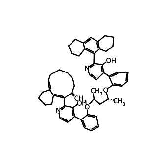 C=C1CCCCC/C=C2/CCCC/C2=C/1c1nccc(-c2ccccc2OC(C)C[C@@H](C)Oc2ccccc2-c2ccnc(-c3c4c(cc5c3CCCC5)CCCC4)c2O)c1O